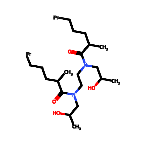 CC(C)CCCC(C)C(=O)N(CCN(CC(C)O)C(=O)C(C)CCCC(C)C)CC(C)O